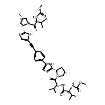 COC(=O)N[C@H](C(=O)N[C@H](C(=O)N1C[C@@H](C)C[C@H]1c1ncc(-c2ccc(C#Cc3cnc([C@@H]4C[C@H](C)CN4C(=O)[C@@H](NC(=O)OC)C(C)C)[nH]3)cc2)[nH]1)C(C)C)C(C)C